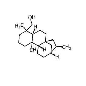 C[C@@H]1C[C@]23CC[C@H]4C(C)(CO)CCC[C@]4(C)[C@H]2CC[C@@H]1C3